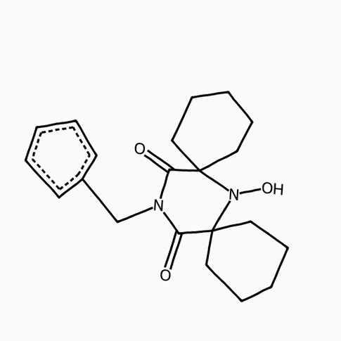 O=C1N(Cc2ccccc2)C(=O)C2(CCCCC2)N(O)C12CCCCC2